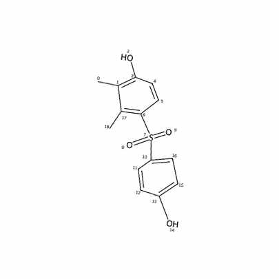 Cc1c(O)ccc(S(=O)(=O)c2ccc(O)cc2)c1C